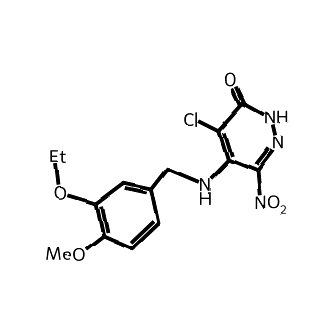 CCOc1cc(CNc2c([N+](=O)[O-])n[nH]c(=O)c2Cl)ccc1OC